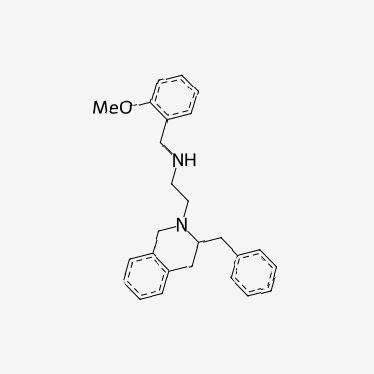 COc1ccccc1CNCCN1Cc2ccccc2CC1Cc1ccccc1